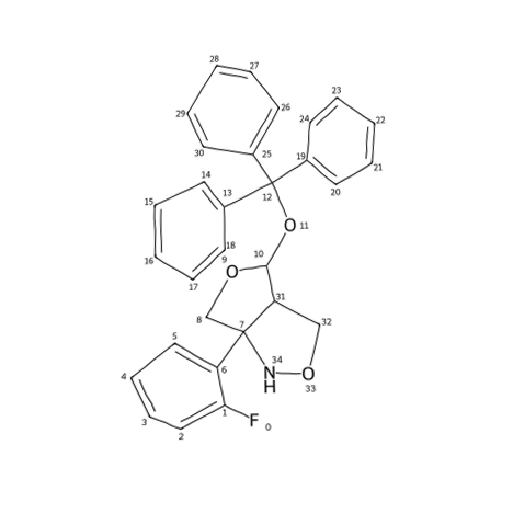 Fc1ccccc1C12COC(OC(c3ccccc3)(c3ccccc3)c3ccccc3)C1CON2